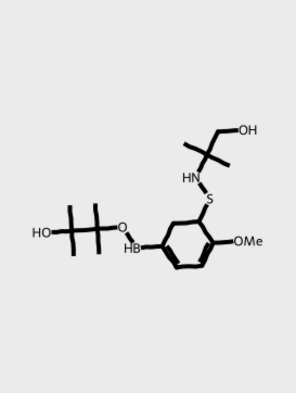 COC1=CC=C(BOC(C)(C)C(C)(C)O)CC1SNC(C)(C)CO